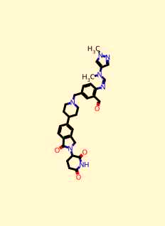 CN(/C=N\c1ccc(CN2CCC(c3ccc4c(c3)CN(C3CCC(=O)NC3=O)C4=O)CC2)cc1C=O)c1cnn(C)c1